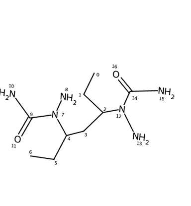 CCC(CC(CC)N(N)C(N)=O)N(N)C(N)=O